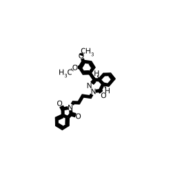 COc1ccc(C2=NN(CCCCN3C(=O)c4ccccc4C3=O)C(=O)[C@@H]3CC=CC[C@H]23)cc1OC